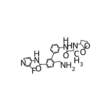 C[C@@H](NC1CCOC1=O)C(=O)Nc1cccc(-c2cc(C(=O)Nc3ccncc3F)ccc2CN)c1